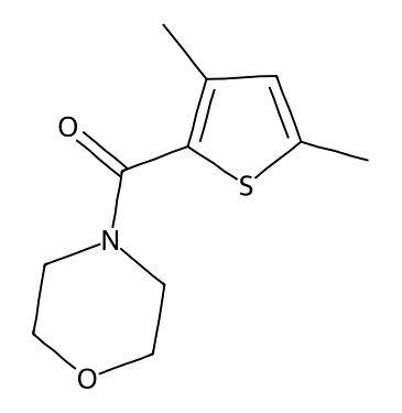 Cc1cc(C)c(C(=O)N2CCOCC2)s1